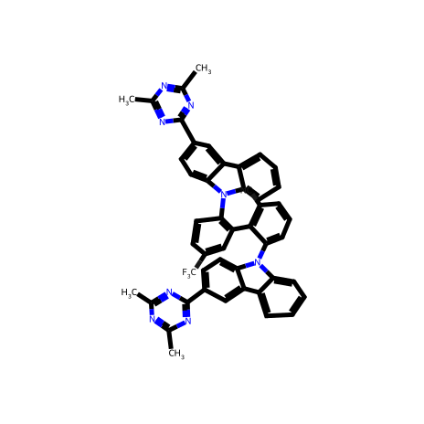 Cc1nc(C)nc(-c2ccc3c(c2)c2ccccc2n3-c2ccc(C(F)(F)F)cc2-c2c(C#N)cccc2-n2c3ccccc3c3cc(-c4nc(C)nc(C)n4)ccc32)n1